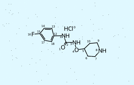 Cl.O=C(NOC1CCNCC1)Nc1ccc(F)cc1